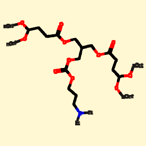 CCCCCCCCOC(CCC(=O)OCC(COC(=O)CCC(OCCCCCCCC)OCCCCCCCC)COC(=O)OCCCN(CC)CC)OCCCCCCCC